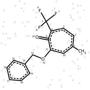 Cc1ccc(C(F)(F)F)c(=O)c(OCc2ccccc2)c1